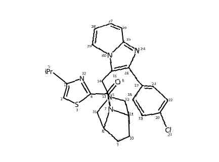 CC(C)c1csc(C(=O)N2C3CCC2CN(Cc2c(-c4ccc(Cl)cc4)nc4ccccn24)C3)n1